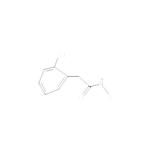 CCNC(=O)Cc1ccccc1O